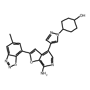 Cc1cc(-c2cc3c(-c4cnn(C5CCC(O)CC5)c4)cnc(N)c3o2)c2snnc2c1